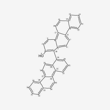 Oc1ccc2c(ccc3c4ccccc4ccc23)c1-c1cccc2c1ccc1c3ccccc3ccc21